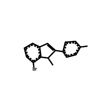 Cc1ccc(C2=Cc3cccc(Br)c3C2C)cc1